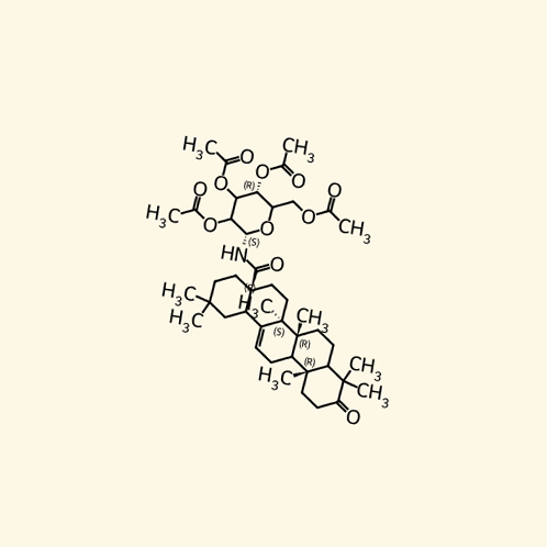 CC(=O)OCC1O[C@H](NC(=O)[C@]23CCC(C)(C)CC2C2=CCC4[C@@]5(C)CCC(=O)C(C)(C)C5CC[C@@]4(C)[C@]2(C)CC3)C(OC(C)=O)C(OC(C)=O)[C@@H]1OC(C)=O